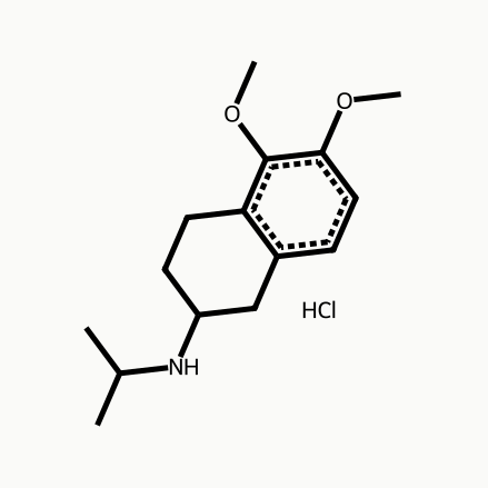 COc1ccc2c(c1OC)CCC(NC(C)C)C2.Cl